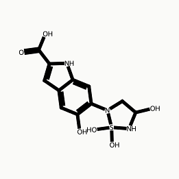 O=C(O)c1cc2cc(O)c(N3CC(O)NS3(O)O)cc2[nH]1